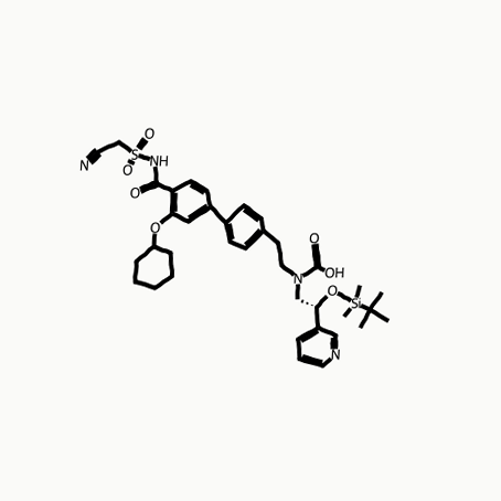 CC(C)(C)[Si](C)(C)O[C@@H](CN(CCc1ccc(-c2ccc(C(=O)NS(=O)(=O)CC#N)c(OC3CCCCC3)c2)cc1)C(=O)O)c1cccnc1